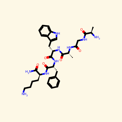 C[C@@H](N)C(=O)NCC(=O)N[C@H](C)C(=O)N[C@@H](Cc1c[nH]c2ccccc12)C(=O)N[C@H](Cc1ccccc1)C(=O)N[C@@H](CCCCN)C(N)=O